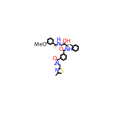 COc1cccc([C@@H](C)NC[C@@H](O)[C@H](Cc2ccccc2)NC(=O)c2cccc(C(=O)N(C)Cc3nc(C)cs3)c2)c1